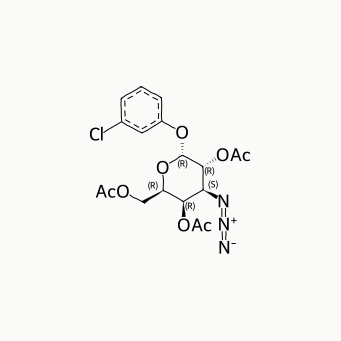 CC(=O)OC[C@H]1O[C@H](Oc2cccc(Cl)c2)[C@H](OC(C)=O)[C@@H](N=[N+]=[N-])[C@H]1OC(C)=O